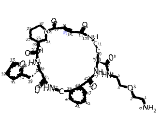 NCCOCCNC(=O)[C@@H]1CCNC(=O)/C=C/C(=O)N2CCC[C@H](C2)C(=O)N[C@@H](Cc2ccco2)C(=O)NCc2ccccc2C(=O)N1